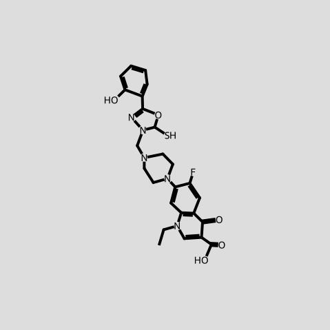 CCn1cc(C(=O)O)c(=O)c2cc(F)c(N3CCN(CN4N=C(c5ccccc5O)OC4S)CC3)cc21